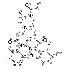 C=CC(=O)N1C[C@H](C)N(c2nc(=O)n(-c3c(C)ccnc3C(C)C)c3nc(-c4cccc(F)c4F)c(Cl)cc23)C[C@H]1C